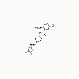 COc1ncc(Cl)cc1C(=O)N[C@H]1CC[C@H](CNc2nc(C)c(C)s2)CC1